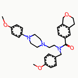 COc1ccc(CN(CCN2CCN(c3ccc(OC)cc3)CC2)C(=O)c2ccc3c(c2)CCOC3)cc1